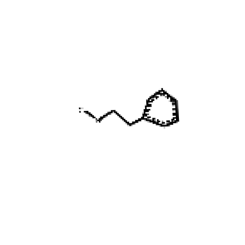 Cl[N]CCc1ccccc1